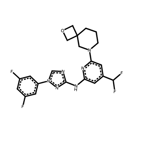 Fc1cc(F)cc(-n2cnc(Nc3cc(C(F)F)cc(N4CCCC5(COC5)C4)n3)n2)c1